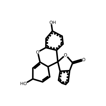 O=C1OC2(c3ccc(O)cc3OC3=CC(O)C=CC32)c2ccccc21